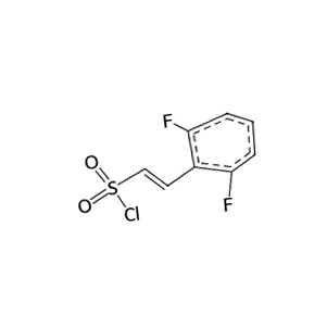 O=S(=O)(Cl)/C=C/c1c(F)cccc1F